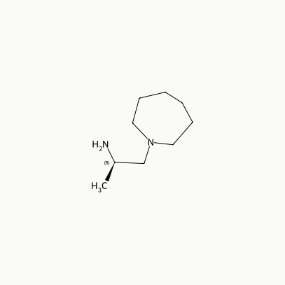 C[C@@H](N)CN1CCCCCC1